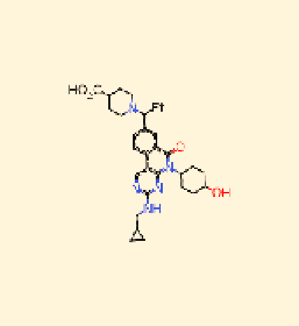 CCC(c1ccc2c(c1)c(=O)n(C1CCC(O)CC1)c1nc(NCC3CC3)ncc21)N1CCC(C(=O)O)CC1